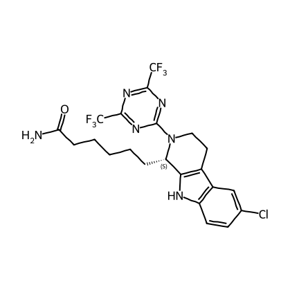 NC(=O)CCCCC[C@H]1c2[nH]c3ccc(Cl)cc3c2CCN1c1nc(C(F)(F)F)nc(C(F)(F)F)n1